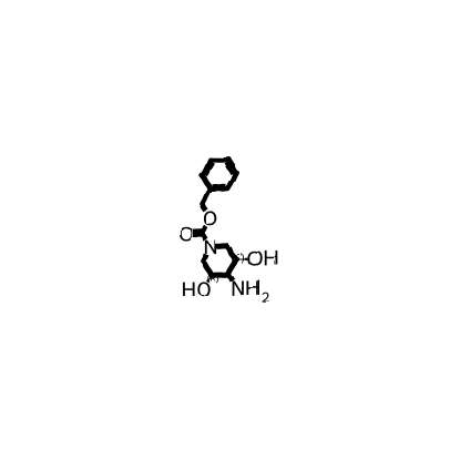 NC1[C@H](O)CN(C(=O)OCc2ccccc2)C[C@@H]1O